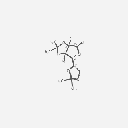 CC1(C)O[C@@H]2[C@H](O1)[C@@H](I)O[C@@H]2[C@H]1COC(C)(C)O1